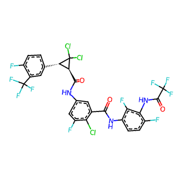 O=C(Nc1ccc(F)c(NC(=O)C(F)(F)F)c1F)c1cc(NC(=O)[C@H]2[C@H](c3ccc(F)c(C(F)(F)F)c3)C2(Cl)Cl)cc(F)c1Cl